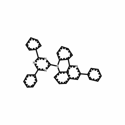 c1ccc(-c2cc3cccc4c3c(n2)-c2ccccc2N4c2nc(-c3ccccc3)nc(-c3ccccc3)n2)cc1